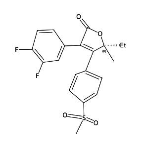 CC[C@@]1(C)OC(=O)C(c2ccc(F)c(F)c2)=C1c1ccc(S(C)(=O)=O)cc1